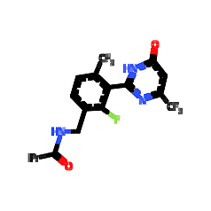 CC(C)C(=O)NCc1ccc(C(F)(F)F)c(-c2nc(C(F)(F)F)cc(=O)[nH]2)c1F